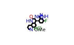 COc1cc2c(-c3ccc(F)c4[nH]ncc34)c(N)c(=O)[nH]c2c2cccnc12.Cl